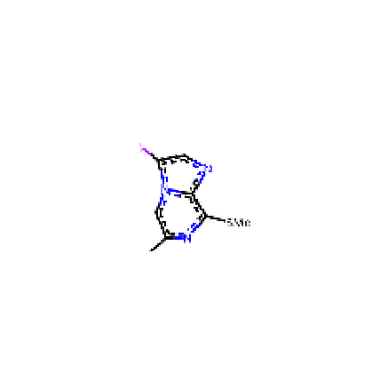 CSc1nc(C)cn2c(I)cnc12